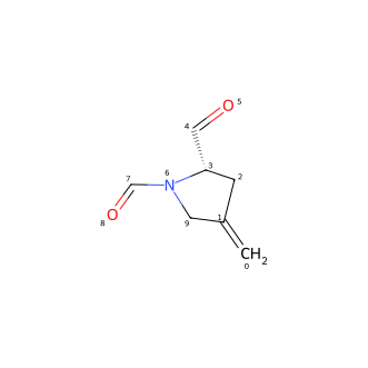 C=C1C[C@@H](C=O)N(C=O)C1